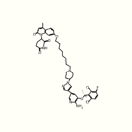 Cc1cc(=O)n(C2CCC(=O)NC2=O)c2cc(OCCCCCCCCN3CCC(n4cc(-c5cnc(N)c(O[C@H](C)c6c(Cl)ccc(F)c6Cl)c5)cn4)CC3)ccc12